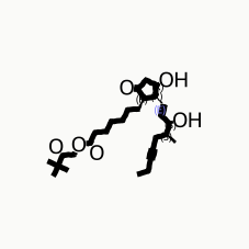 CCC#CC[C@H](C)[C@H](O)/C=C/[C@H]1[C@H](O)CC(=O)[C@@H]1CCCCCCC(=O)OCC(=O)C(C)(C)C